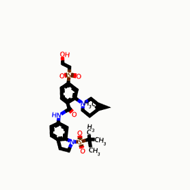 CC12CCN(c3cc(S(=O)(=O)CCO)ccc3C(=O)Nc3ccc4c(c3)N(S(=O)(=O)C(C)(C)C)CC4)CC1C2